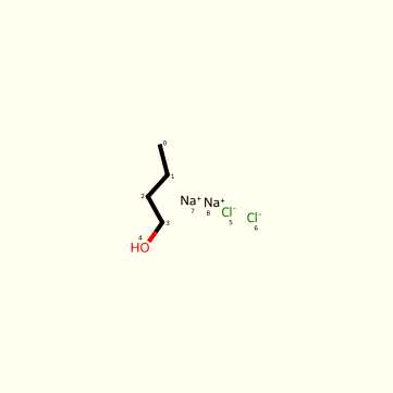 CCCCO.[Cl-].[Cl-].[Na+].[Na+]